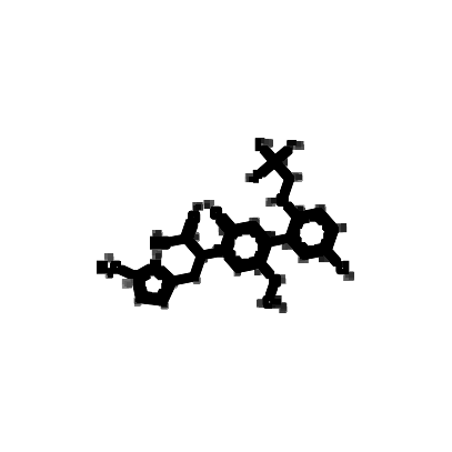 COc1cn(C(Cc2ccn(C)n2)C(=O)O)c(=O)cc1-c1cc(Cl)ccc1OCC(F)(F)F